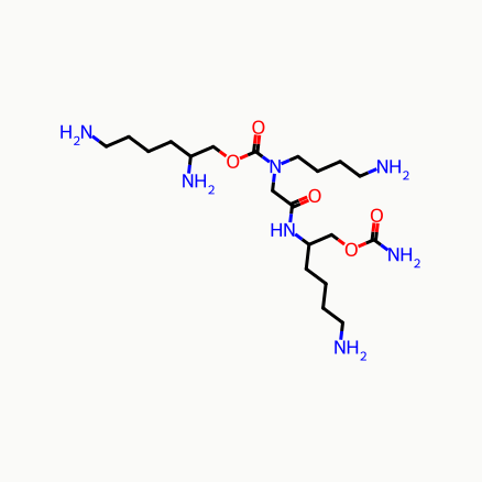 NCCCCC(N)COC(=O)N(CCCCN)CC(=O)NC(CCCCN)COC(N)=O